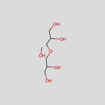 CO.OCC(O)COCC(O)CO